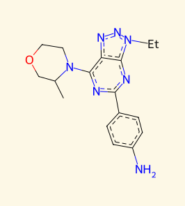 CCn1nnc2c(N3CCOCC3C)nc(-c3ccc(N)cc3)nc21